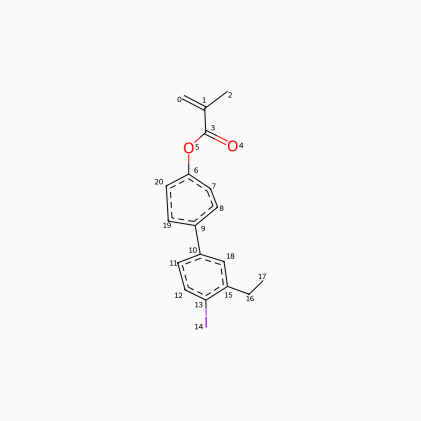 C=C(C)C(=O)Oc1ccc(-c2ccc(I)c(CC)c2)cc1